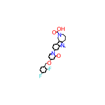 Cn1c2c(c3ccc(-n4ccc(OCc5ccc(F)cc5F)cc4=O)cc31)CN(C(=O)O)CCC2